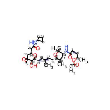 CC(=O)O[C@@H](C)/C=C\C(=O)N[C@@H]1C[C@H](C)[C@H](C/C=C(C)/C=C/[C@H]2O[C@H](CC(=O)NC3CCC3)CC3(CO3)[C@@H]2O)O[C@@H]1C